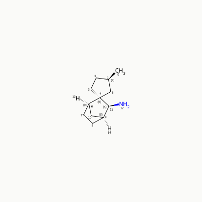 C[C@@H]1CC[C@@]2(C1)[C@@H]1CC[C@@H](C1)[C@@H]2N